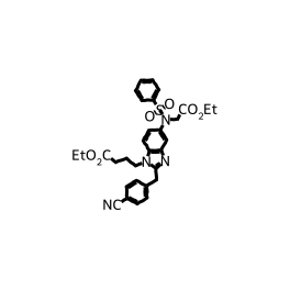 CCOC(=O)CCCn1c(Cc2ccc(C#N)cc2)nc2cc(N(CC(=O)OCC)S(=O)(=O)c3ccccc3)ccc21